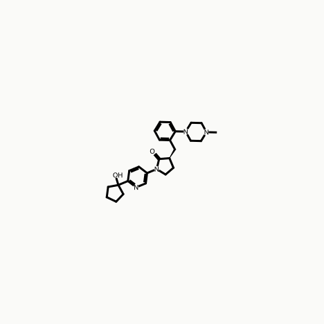 CN1CCN(c2ccccc2C[C@H]2CCN(c3ccc(C4(O)CCCC4)nc3)C2=O)CC1